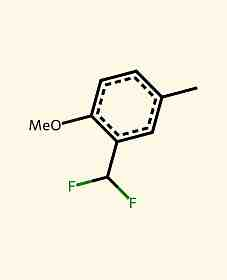 COc1ccc(C)cc1C(F)F